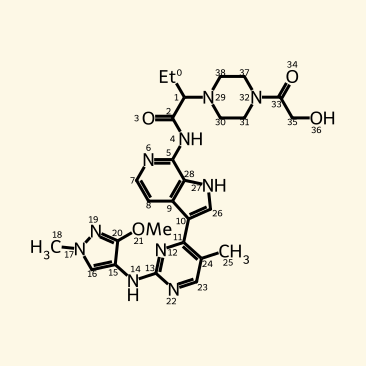 CCC(C(=O)Nc1nccc2c(-c3nc(Nc4cn(C)nc4OC)ncc3C)c[nH]c12)N1CCN(C(=O)CO)CC1